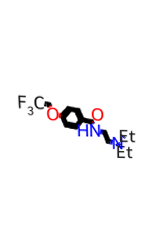 CCN(CC)CCNC(=O)c1ccc(OCC(F)(F)F)cc1